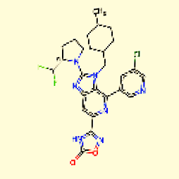 CC1CCC(Cn2c(N3CCC[C@H]3C(F)F)nc3cc(-c4noc(=O)[nH]4)nc(-c4cncc(Cl)c4)c32)CC1